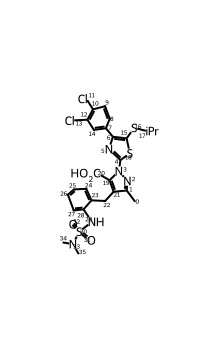 Cc1nn(-c2nc(-c3ccc(Cl)c(Cl)c3)c(SC(C)C)s2)c(C(=O)O)c1Cc1ccccc1NS(=O)(=O)N(C)C